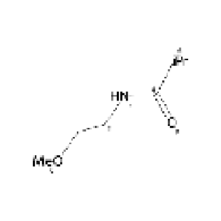 COCCNC(=O)C(C)C